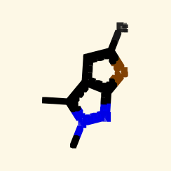 CCc1cc2c(C)n(C)nc2s1